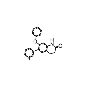 O=C1CCc2cc(-c3cccnc3)c(Oc3ccccc3)cc2N1